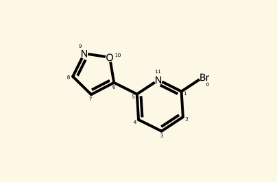 Brc1cccc(-c2ccno2)n1